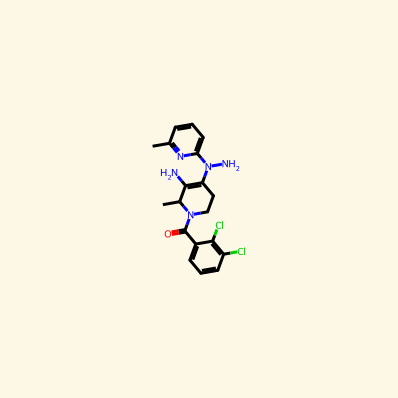 Cc1cccc(N(N)C2=C(N)C(C)N(C(=O)c3cccc(Cl)c3Cl)CC2)n1